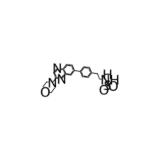 O=[SH](=O)NCCc1ccc(-c2ccc3ncc(N4CCOCC4)nc3c2)cc1